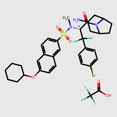 CN([C@H](C(=O)N1C2CCC1CC(N)C2)C(F)(F)c1ccc(Br)cc1)S(=O)(=O)c1ccc2cc(OC3CCCCC3)ccc2c1.O=C(O)C(F)(F)F